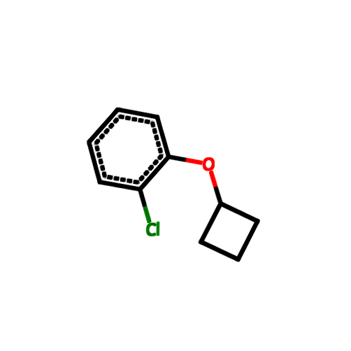 Clc1ccccc1OC1CCC1